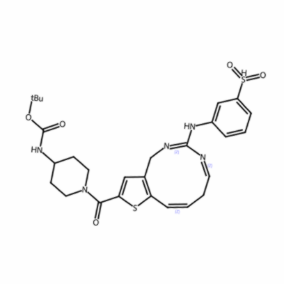 CC(C)(C)OC(=O)NC1CCN(C(=O)c2cc3c(s2)/C=C\C/C=N\C(Nc2cccc([SH](=O)=O)c2)=N/C3)CC1